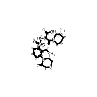 CCc1c(N2CCOCC2=O)cccc1S(=O)(=O)N[C@@H](C(N)=O)C(=O)N1CCC[C@H](O)C1